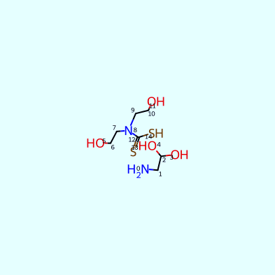 NCC(O)O.OCCN(CCO)C(=S)S